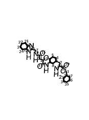 N[C@@H](Cc1ccc2c(c1)NC(=O)C(CC(=O)NCc1nc3ccccc3[nH]1)O2)C(=O)OCc1ccccc1